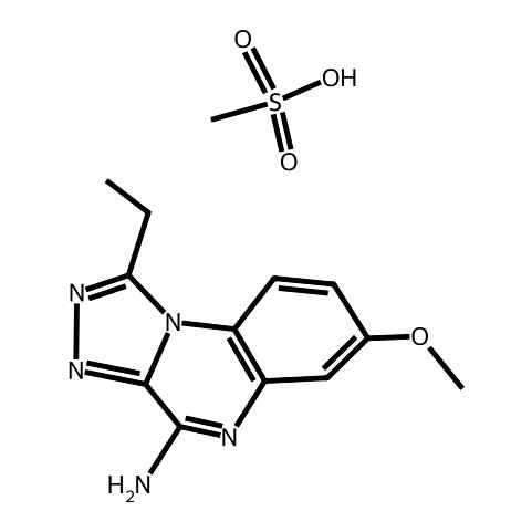 CCc1nnc2c(N)nc3cc(OC)ccc3n12.CS(=O)(=O)O